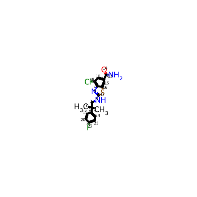 CC(C)(CNc1nc2c(Cl)cc(C(N)=O)cc2s1)c1ccc(F)cc1